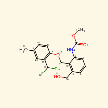 COC(=O)Nc1cccc(CO)c1COc1ccc(C)cc1C(F)F